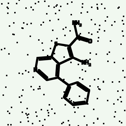 NC(=O)c1sc2cncc(-c3ccccc3)c2c1N